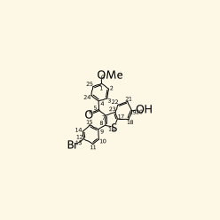 COc1ccc(C(=O)c2c(-c3ccc(Br)cc3)sc3cc(O)ccc23)cc1